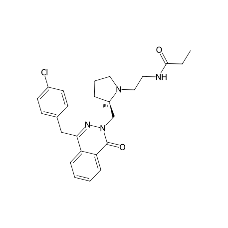 CCC(=O)NCCN1CCC[C@@H]1Cn1nc(Cc2ccc(Cl)cc2)c2ccccc2c1=O